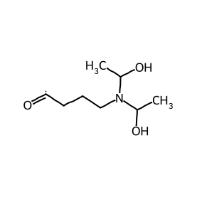 CC(O)N(CCC[C]=O)C(C)O